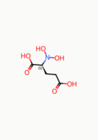 O=C(O)CC[C@@H](C(=O)O)N(O)O